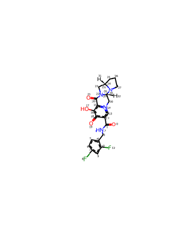 O=C(NCc1ccc(F)cc1F)c1cn2c(c(O)c1=O)C(=O)N1C[C@@H]3CCCN3[C@@H]1C2